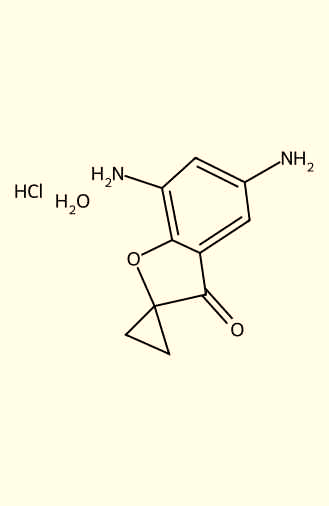 Cl.Nc1cc(N)c2c(c1)C(=O)C1(CC1)O2.O